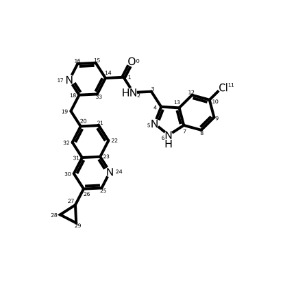 O=C(NCc1n[nH]c2ccc(Cl)cc12)c1ccnc(Cc2ccc3ncc(C4CC4)cc3c2)c1